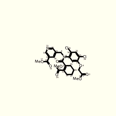 COC(=O)COc1cc(N(Cc2cncc(C(=O)OC)c2)C(=O)C2=C(C(=O)OC)CCCC2)c(Cl)cc1Cl